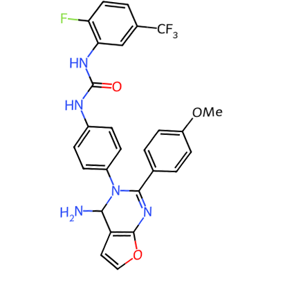 COc1ccc(C2=Nc3occc3C(N)N2c2ccc(NC(=O)Nc3cc(C(F)(F)F)ccc3F)cc2)cc1